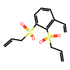 C=CCS(=O)(=O)c1cccc(C=C)c1S(=O)(=O)CC=C